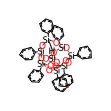 c1ccc([Si]23O[SiH]4O[Si]5(c6ccccc6)O[Si](c6ccccc6)(O2)O[Si]2(c6ccccc6)O[Si](c6ccccc6)(O3)O[Si](c3ccccc3)(O4)O[Si](c3ccccc3)(O5)O2)cc1